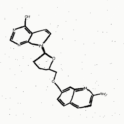 Nc1ccc2ccc(OCC3CCC(n4ccc5c(O)ncnc54)O3)cc2n1